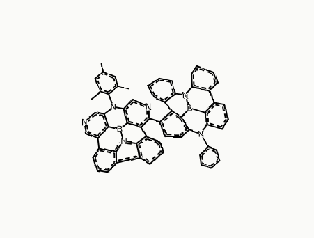 Cc1cc(C)c(N2c3cncc4c3B3c5c2cnc(-c2ccc6c7c2-c2ccccc2N2B7c7c(cccc7N6c6ccccc6)-c6ccccc62)c5-c2cccc5c6cccc-4c6n3c25)c(C)c1